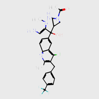 CC(=O)N1CC(C(O)(/C(=C/N)N(C)N)c2ccc3nc(C)c(Cc4ccc(C(F)(F)F)cc4)c(Cl)c3c2)C1